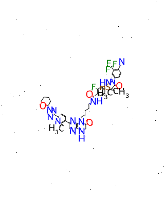 Cc1nc(-c2ncn(C3CCCCO3)n2)ccc1-c1cnc2c(n1)N(CCCCCNC(=O)c1ccc([SH]3NN(c4ccc(C#N)c(C(F)(F)F)c4)C(=O)C3(C)C)cc1F)C(=O)CN2